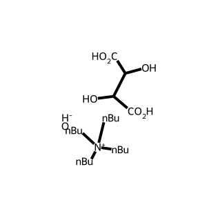 CCCC[N+](CCCC)(CCCC)CCCC.O=C(O)C(O)C(O)C(=O)O.[OH-]